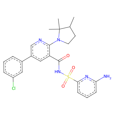 CC1CCN(c2ncc(-c3cccc(Cl)c3)cc2C(=O)NS(=O)(=O)c2cccc(N)n2)C1(C)C